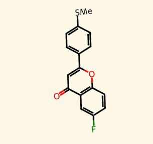 CSc1ccc(-c2cc(=O)c3cc(F)ccc3o2)cc1